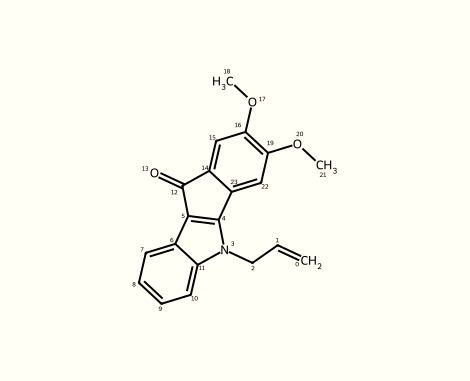 C=CCn1c2c(c3ccccc31)C(=O)c1cc(OC)c(OC)cc1-2